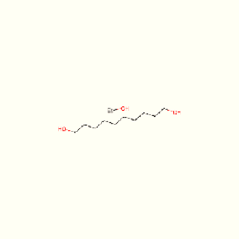 CCO.OCCCCCCCCCCO